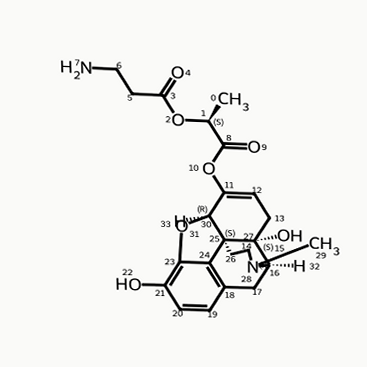 C[C@H](OC(=O)CCN)C(=O)OC1=CC[C@@]2(O)[C@H]3Cc4ccc(O)c5c4[C@@]2(CCN3C)[C@H]1O5